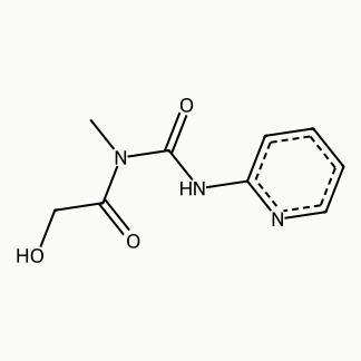 CN(C(=O)CO)C(=O)Nc1ccccn1